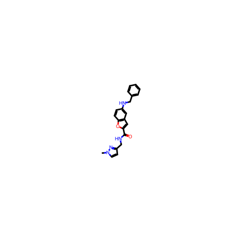 Cn1ccc(CNC(=O)c2cc3cc(NCc4ccccc4)ccc3o2)n1